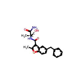 Cc1oc2ccc(Cc3ccccc3)cc2c1C(=O)N[C@@](C)(CO)C(N)=O